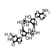 Nc1nc2c(ncn2[C@@H]2O[C@@H]3COP(=O)(O)NC4C(O)[C@H](n5cnc6c(N)ncnc65)O[C@@H]4COP(=O)(O)NC3C2O)c(=O)[nH]1